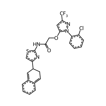 O=C(COc1cc(C(F)(F)F)nn1-c1ccccc1Cl)Nc1nc(C2C=c3ccccc3=CC2)cs1